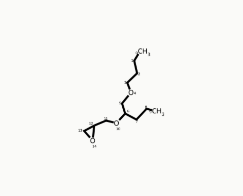 CCCCOCC(CCC)OCC1CO1